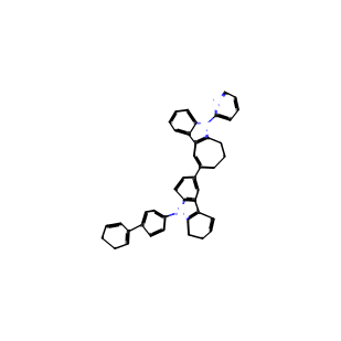 C1=CC(c2ccc(-n3c4c(c5cc(C6=Cc7c(n(-c8ccccn8)c8ccccc78)CCC6)ccc53)C=CCC4)cc2)=CCC1